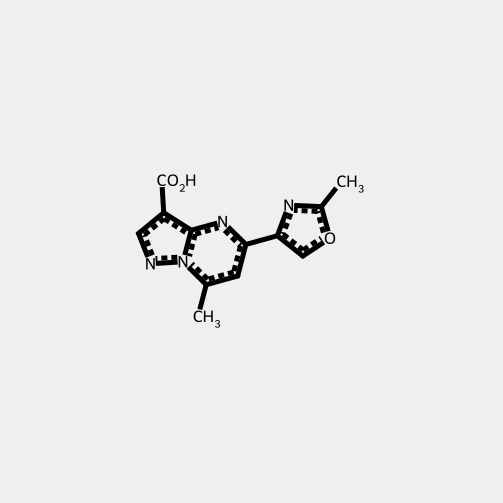 Cc1nc(-c2cc(C)n3ncc(C(=O)O)c3n2)co1